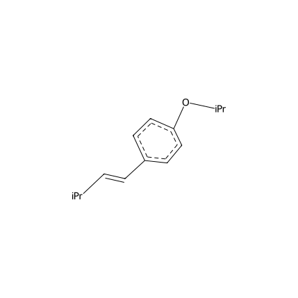 CC(C)/C=C/c1ccc(OC(C)C)cc1